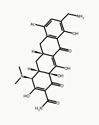 CC(=O)c1cc(CN)c(O)c2c1C[C@H]1C[C@H]3[C@H](N(C)C)C(O)=C(C(N)=O)C(=O)[C@@]3(O)C(O)=C1C2=O